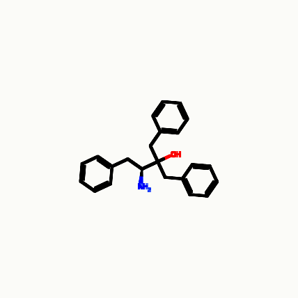 N[C@@H](Cc1ccccc1)C(O)(Cc1ccccc1)Cc1ccccc1